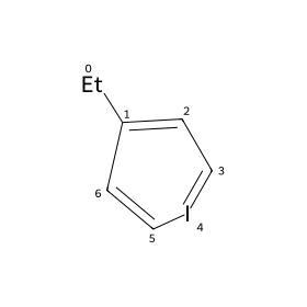 CCC1=CC=IC=C1